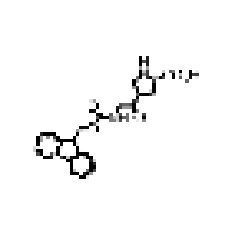 O=C(NCC(=O)C1CNC(C(=O)O)C1)OCC1c2ccccc2-c2ccccc21